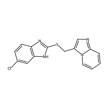 Clc1ccc2nc(SCc3cnc4ccccn34)[nH]c2c1